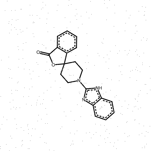 O=C1OC2(CCN(c3nc4ccccc4[nH]3)CC2)c2ccccc21